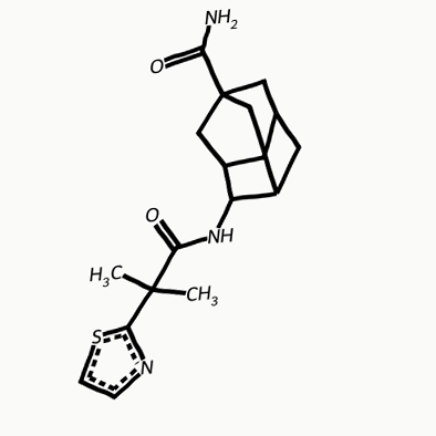 CC(C)(C(=O)NC1C2CC3CC1CC(C(N)=O)(C3)C2)c1nccs1